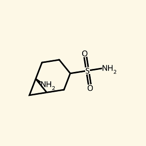 NC12CCC(S(N)(=O)=O)CC1C2